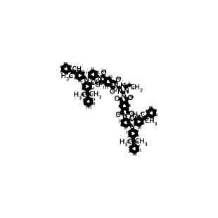 C=Cc1nc(-n2c(=O)c3cc4c(=O)n(-c5cccc(N(c6ccc(C(C)(C)c7ccccc7)cc6)c6ccc(C(C)(C)c7ccccc7)cc6)c5O)c(=O)c4cc3c2=O)nc(-n2c(=O)c3cc4c(=O)n(-c5cccc(N(c6ccc(C(C)(C)c7ccccc7)cc6)c6ccc(C(C)(C)c7ccccc7)cc6)c5O)c(=O)c4cc3c2=O)n1